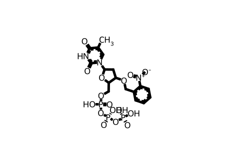 Cc1cn(C2CC(OCc3ccccc3[N+](=O)[O-])C(COP(=O)(O)OP(=O)(O)OP(=O)(O)O)O2)c(=O)[nH]c1=O